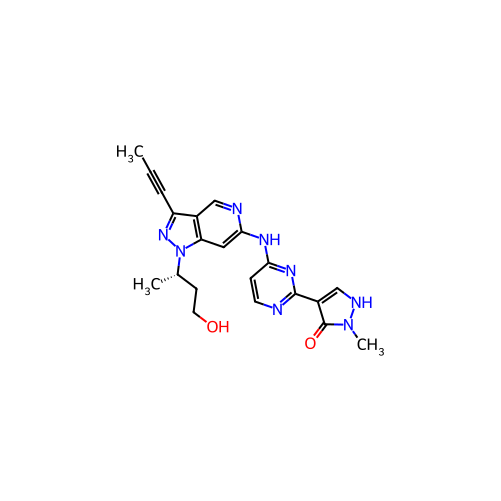 CC#Cc1nn([C@@H](C)CCO)c2cc(Nc3ccnc(-c4c[nH]n(C)c4=O)n3)ncc12